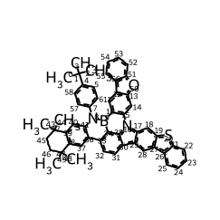 CC(C)(C)c1ccc(N2B3c4cc5c(cc4-n4c6cc7sc8ccccc8c7cc6c6ccc(c3c64)-c3cc4c(cc32)C(C)(C)CCC4(C)C)oc2ccccc25)cc1